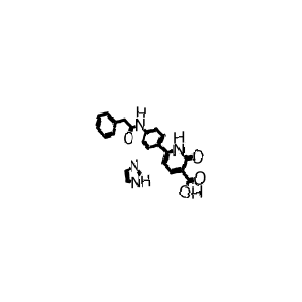 O=C(Cc1ccccc1)Nc1ccc(-c2ccc(C(=O)O)c(=O)[nH]2)cc1.c1c[nH]cn1